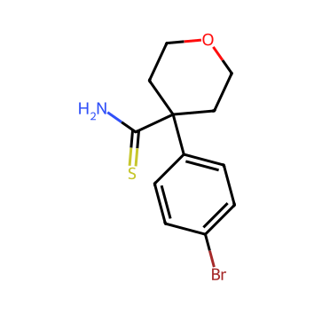 NC(=S)C1(c2ccc(Br)cc2)CCOCC1